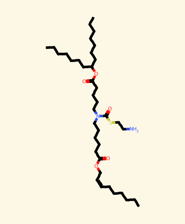 CCCCCC/C=C\COC(=O)CCCCCN(CCCCC(=O)OC(CCCCCCC)CCCCCCC)C(=O)SCCN